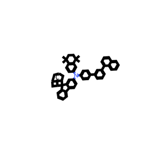 CC1(C)CCC(C)(C)c2cc(N(c3ccc(-c4cccc(-c5cccc6ccccc56)c4)cc3)c3ccc4c(c3)C3(c5ccccc5-4)C4CC5CC6CC3C64C5)ccc21